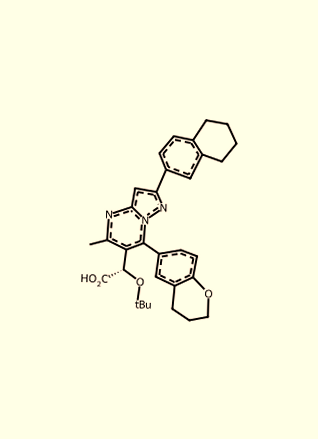 Cc1nc2cc(-c3ccc4c(c3)CCCC4)nn2c(-c2ccc3c(c2)CCCO3)c1[C@H](OC(C)(C)C)C(=O)O